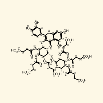 C[C@@H]1O[C@@H](OC[C@H]2O[C@@H](Oc3c(-c4ccc(O)c(O)c4)oc4cc(O)cc(O)c4c3=O)[C@H](OC(=O)CCC(=O)O)[C@@H](OC(=O)CCC(=O)O)[C@@H]2OC(=O)CCC(=O)O)[C@H](OC(=O)CCC(=O)O)[C@H](OC(=O)CCC(=O)O)[C@H]1OC(=O)CCC(=O)O